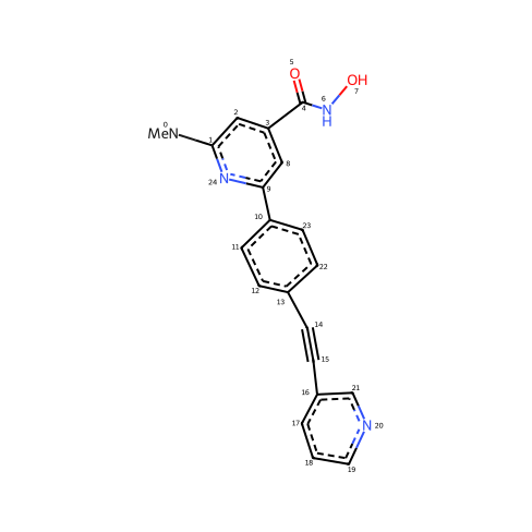 CNc1cc(C(=O)NO)cc(-c2ccc(C#Cc3cccnc3)cc2)n1